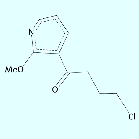 COc1ncccc1C(=O)CCCCl